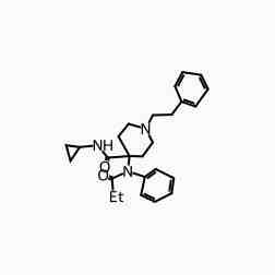 CCC(=O)N(c1ccccc1)C1(C(=O)NC2CC2)CCN(CCc2ccccc2)CC1